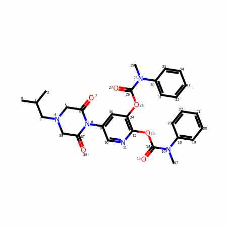 CC(C)CN1CC(=O)N(c2cnc(OC(=O)N(C)c3ccccc3)c(OC(=O)N(C)c3ccccc3)c2)C(=O)C1